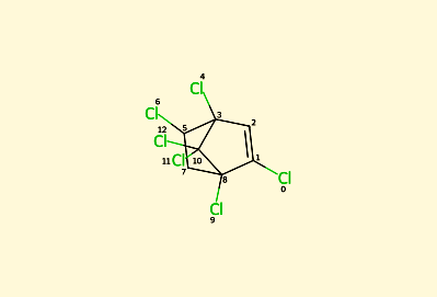 ClC1=CC2(Cl)C(Cl)CC1(Cl)C2(Cl)Cl